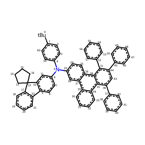 CC(C)(C)c1ccc(N(c2ccc3c(c2)C2(CCCC2)c2ccccc2-3)c2ccc3c(c2)c2ccccc2c2c(-c4ccccc4)cc(-c4ccccc4)c(-c4ccccc4)c32)cc1